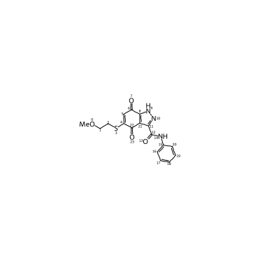 COCCSC1=CC(=O)c2[nH]nc(C(=O)Nc3ccccc3)c2C1=O